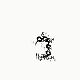 COc1cc2[nH]nc(-c3ccc(N4CCC(C)(C(=O)OC(C)(C)C)CC4)nc3)c2nc1-c1cccc(C)c1C